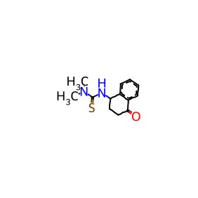 CN(C)C(=S)NC1CCC(=O)c2ccccc21